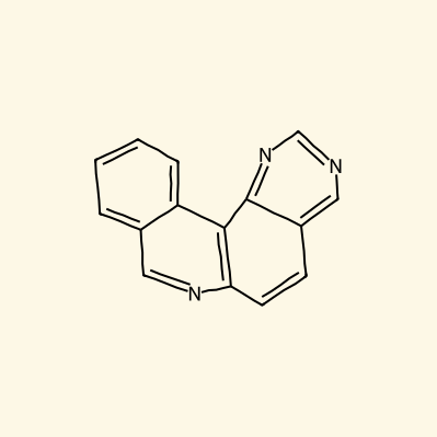 c1ccc2c(c1)cnc1ccc3cncnc3c12